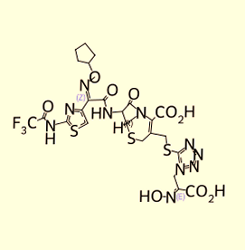 O=C(O)C1=C(CSc2nnnn2C/C(=N\O)C(=O)O)CS[C@@H]2C(NC(=O)/C(=N\OC3CCCC3)c3csc(NC(=O)C(F)(F)F)n3)C(=O)N12